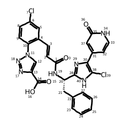 O=C(C=Cc1cc(Cl)ccc1-n1cc(C(=O)O)nn1)N[C@@H](Cc1ccccc1)c1nc(-c2cc[nH]c(=O)c2)c(Cl)[nH]1